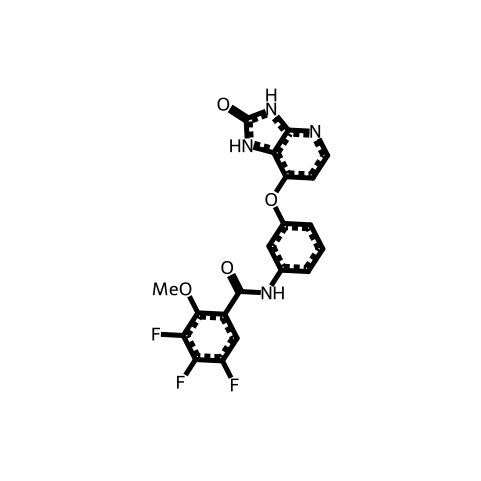 COc1c(C(=O)Nc2cccc(Oc3ccnc4[nH]c(=O)[nH]c34)c2)cc(F)c(F)c1F